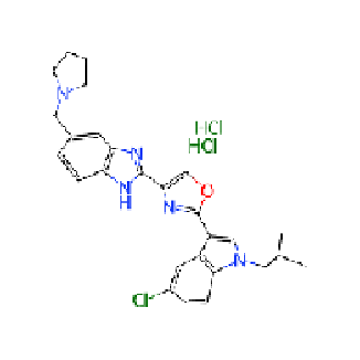 CC(C)Cn1cc(-c2nc(-c3nc4cc(CN5CCCC5)ccc4[nH]3)co2)c2cc(Cl)ccc21.Cl.Cl